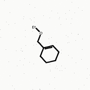 [CH2]COCC1=CCCCC1